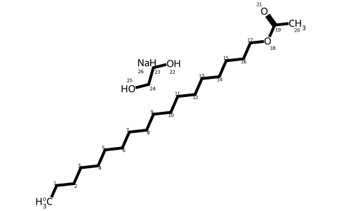 CCCCCCCCCCCCCCCCCCOC(C)=O.OCCO.[NaH]